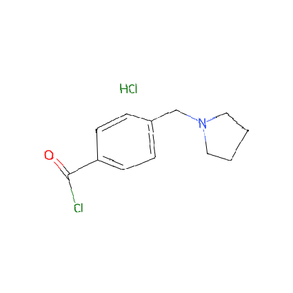 Cl.O=C(Cl)c1ccc(CN2CCCC2)cc1